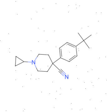 CC(C)(C)c1ccc(C2(C#N)CCN(C3CC3)CC2)cc1